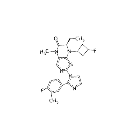 CC[C@@H]1C(=O)N(C)c2cnc(-n3ccnc3-c3ccc(F)c(C)c3)nc2N1C1CC(F)C1